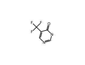 O=C1[N][C]=NC=C1C(F)(F)F